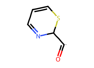 O=[C]C1N=CC=CS1